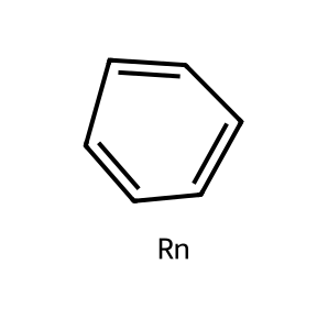 [Rn].c1ccccc1